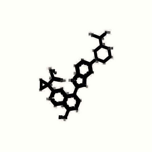 CNc1ncc(-c2nc3cc(N4CCOC(C(F)F)C4)ccc3o2)c2cc(C3(C(N)=O)CC3)ncc12